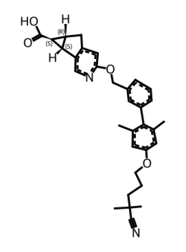 Cc1cc(OCCCC(C)(C)C#N)cc(C)c1-c1cccc(COc2cc3c(cn2)[C@H]2[C@@H](C3)[C@@H]2C(=O)O)c1